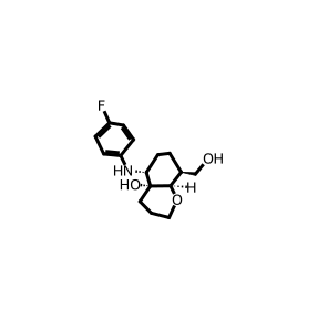 OC[C@@H]1CC[C@@H](Nc2ccc(F)cc2)[C@]2(O)CCCO[C@H]12